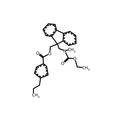 CCCc1ccc(C(=O)OCC2(CN(C)C(=O)OCC)c3ccccc3-c3ccccc32)cc1